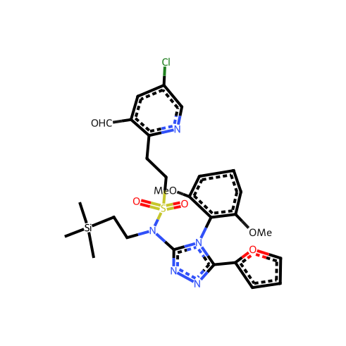 COc1cccc(OC)c1-n1c(-c2ccco2)nnc1N(CC[Si](C)(C)C)S(=O)(=O)CCc1ncc(Cl)cc1C=O